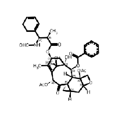 CC(=O)O[C@H]1C(=O)[C@]23C[C@H]2C[C@H]2OC[C@@]2(OC(C)=O)[C@H]3[C@H](OC(=O)c2ccccc2)[C@]2(O)C[C@H](OC(=O)[C@H](C)[C@@H](NC=O)C3=CC=CCC3)C(C)=C1C2(C)C